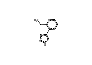 CCc1ncccc1-c1c[nH]nn1